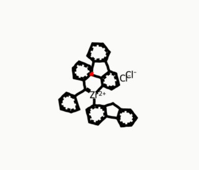 [Cl-].[Cl-].c1ccc([C](c2ccccc2)=[Zr+2]([c]2cccc3c2Cc2ccccc2-3)[c]2cccc3c2Cc2ccccc2-3)cc1